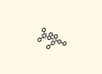 c1ccc(-c2ccc(N(c3ccc(-c4ccccc4)cc3)c3cccc4c3Sc3ccc(-c5nc(-c6ccccc6)nc(-c6ccccc6)n5)c5cccc-4c35)cc2)cc1